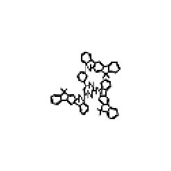 CC1(C)c2ccccc2-c2cc3c4ccccc4n(-c4cccc(-c5cc(-n6c7ccccc7c7cc8c(cc76)C(C)(C)c6ccccc6-8)nc(-n6c7ccccc7c7cc8c(cc76)C(C)(C)c6ccccc6-8)n5)c4)c3cc21